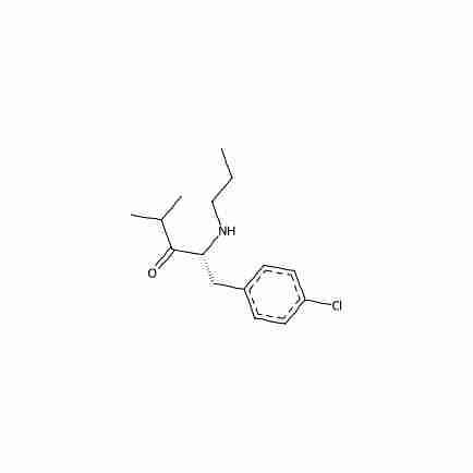 CCCN[C@H](Cc1ccc(Cl)cc1)C(=O)C(C)C